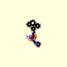 O=C(/C=C/c1ccc(C2=C(c3ccccc3)CCCc3ccccc32)cc1)NS(=O)(=O)CCCN1CCCCC1